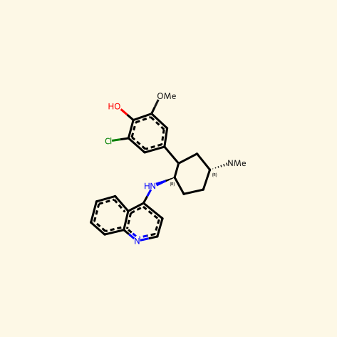 CN[C@@H]1CC[C@@H](Nc2ccnc3ccccc23)C(c2cc(Cl)c(O)c(OC)c2)C1